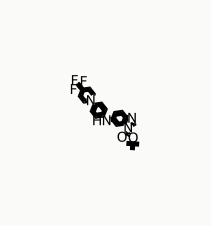 CC(C)(C)OC(=O)n1cnc2ccc(Nc3ccc(N4CCC(C(F)(F)F)CC4)cc3)cc21